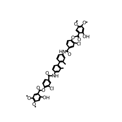 COc1cc(O)c(C(=O)Oc2ccc(C(=O)Nc3ccc(-c4ccc(NC(=O)c5ccc(OC(=O)c6cc(OC)c(OC)cc6O)c(Cl)c5)cc4C)c(C)c3)cc2Cl)cc1OC